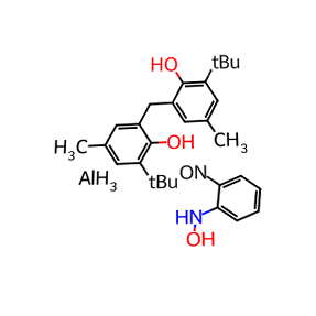 Cc1cc(Cc2cc(C)cc(C(C)(C)C)c2O)c(O)c(C(C)(C)C)c1.O=Nc1ccccc1NO.[AlH3]